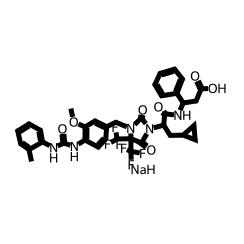 COc1cc(CN2C(=O)N(C(CC3CC3)C(=O)NC(CC(=O)O)c3ccccc3)C(=O)C2(C(F)(F)F)C(F)(F)F)ccc1NC(=O)Nc1ccccc1C.[NaH]